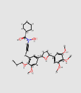 CCCOc1c(CC#CN(O)C(=O)C2CCCCC2)cc(C2CCC(c3cc(OC)c(OC)c(OC)c3)O2)cc1OC